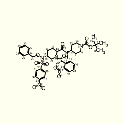 CC(C)(C)OC(=O)N1CCC(NC(=O)C2CC[C@@H](N(OCc3ccccc3)S(=O)(=O)c3ccc([N+](=O)[O-])cc3)CN2S(=O)(=O)c2ccccc2[N+](=O)[O-])CC1